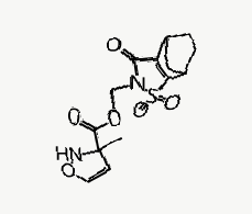 CC1(C(=O)OCN2C(=O)C3=C(C4CCC3CC4)S2(=O)=O)C=CON1